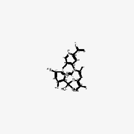 BC(O)(OC(/C=C(/C)N(C=O)c1cc(C(C)=O)ncc1C)=C(/C)Cl)c1ncc(F)cc1F